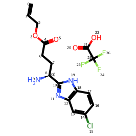 C=CCOC(=O)CC[C@H](N)c1nc2cc(Cl)ccc2[nH]1.O=C(O)C(F)(F)F